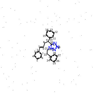 C(=Cc1ccccc1)CC(c1ccccc1)c1nnnn1CCc1ccccc1